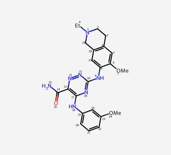 CCN1CCc2cc(OC)c(Nc3nnc(C(N)=O)c(Nc4cccc(OC)c4)n3)cc2C1